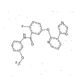 O=C(Nc1cccc(OC(F)(F)F)c1)c1cc(Oc2ncccc2-c2cnco2)ccc1F